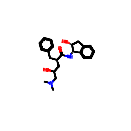 CN(C)C[C@@H](O)C[C@@H](Cc1ccccc1)C(=O)N[C@H]1c2ccccc2C[C@H]1O